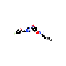 CCCCCCNC(=O)Oc1ccc2c(N3CCN(CCCC(=O)c4ccc(F)cc4)CC3)noc2c1